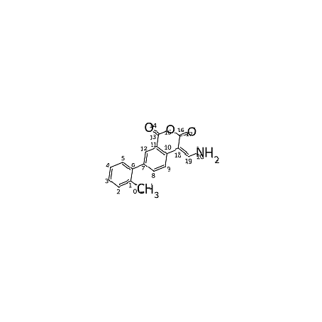 Cc1ccccc1-c1ccc2c(c1)C(=O)OC(=O)C2=CN